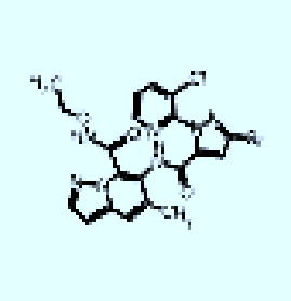 CCONC(=O)c1c(NC(=O)c2cc(Br)nn2-c2ncccc2Cl)c(C)cc2ccnn12